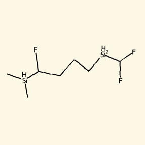 C[SiH](C)C(F)CCC[SiH2]C(F)F